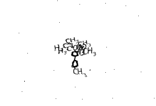 COP(=O)(OC)c1cc(-c2ccc(C)cc2)ccc1OC(C)CC(C)C